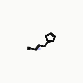 Br/C=C/Cc1cccs1